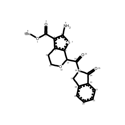 CC(C)(C)OC(=O)c1c(N)sc2c1CCOC2C(=O)N1Cc2ccccc2C1=O